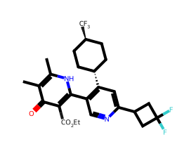 CCOC(=O)c1c(-c2cnc(C3CC(F)(F)C3)cc2[C@H]2CC[C@H](C(F)(F)F)CC2)[nH]c(C)c(C)c1=O